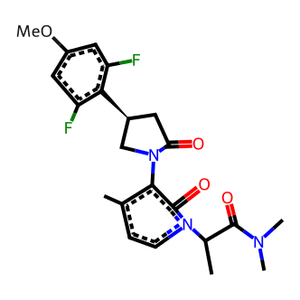 COc1cc(F)c([C@H]2CC(=O)N(c3c(C)ccn(C(C)C(=O)N(C)C)c3=O)C2)c(F)c1